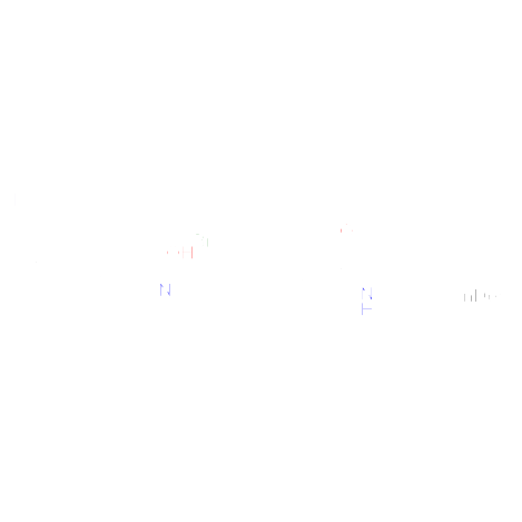 CCCCCCCCCCCCNC(=O)c1ccc(CN(O)Cc2ccc(I)cc2)c(Br)c1